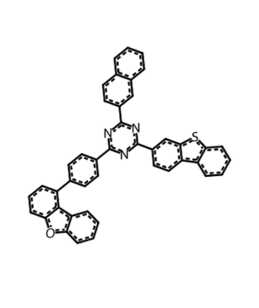 c1ccc2cc(-c3nc(-c4ccc(-c5cccc6oc7ccccc7c56)cc4)nc(-c4ccc5c(c4)sc4ccccc45)n3)ccc2c1